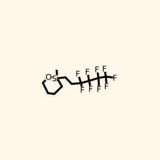 C[Si]1(CCC(F)(F)C(F)(F)C(F)(F)C(F)(F)F)CCCCO1